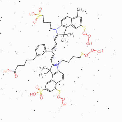 Cc1cc(SOOO)cc2c3c(ccc12)N(CCCCS(=O)(=O)O)/C(=C/C=C(/C=C/C1=[N+](CCCCSOOO)c2ccc4c(SOOO)cc(S(=O)(=O)O)cc4c2C1(C)C)c1cccc(CCCCC(=O)O)c1)C3(C)C